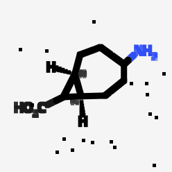 NC1CC[C@@H]2C(C(=O)O)[C@@H]2CC1